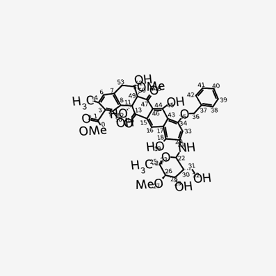 COC(=O)c1c(C)cc2c(c1O)[C@]1(O)C(=O)c3cc4c(O)c(NC5O[C@@H](C)[C@H](OC)[C@@H](O)[C@H]5CO)cc(OCc5ccccc5)c4c(O)c3C(=O)[C@]1(OC)[C@H](O)C2